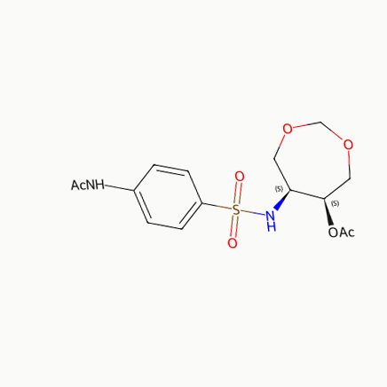 CC(=O)Nc1ccc(S(=O)(=O)N[C@H]2COCOC[C@H]2OC(C)=O)cc1